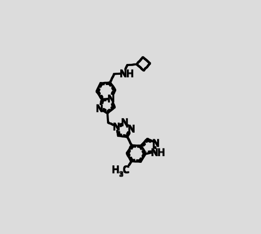 Cc1cc(-c2cn(Cc3cn4cc(CNCC5CCC5)ccc4n3)nn2)c2cn[nH]c2c1